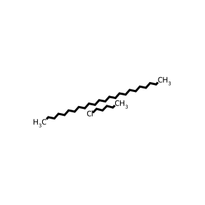 CCCCCCCCCCCCCCCCCCCCCCCC.CCCCCCl